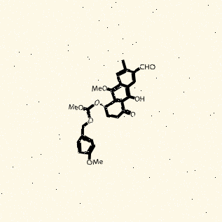 COc1ccc(COC(OC)O[C@H]2CCC(=O)c3c2c(OC)c2cc(C)c(C=O)cc2c3O)cc1